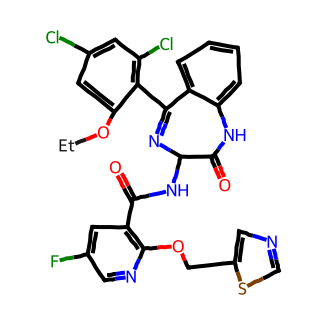 CCOc1cc(Cl)cc(Cl)c1C1=NC(NC(=O)c2cc(F)cnc2OCc2cncs2)C(=O)Nc2ccccc21